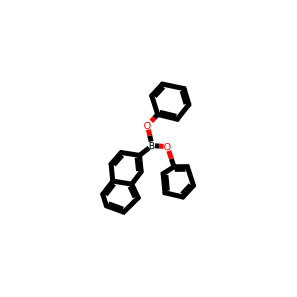 c1ccc(OB(Oc2ccccc2)c2ccc3ccccc3c2)cc1